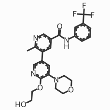 Cc1ncc(C(=O)Nc2cccc(C(F)(F)F)c2)cc1-c1cnc(OCCO)c(N2CCOCC2)c1